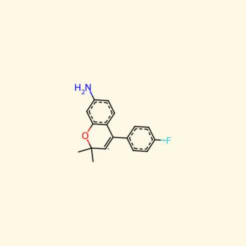 CC1(C)[C]=C(c2ccc(F)cc2)c2ccc(N)cc2O1